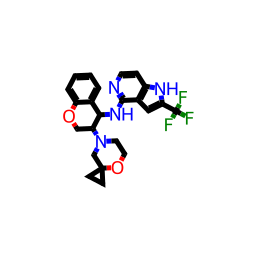 FC(F)(F)c1cc2c(NC3c4ccccc4OCC3N3CCOC4(CC4)C3)nccc2[nH]1